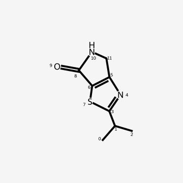 CC(C)c1nc2c(s1)C(=O)NC2